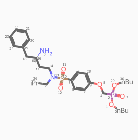 CCCCOP(=O)(COc1ccc(S(=O)(=O)N(CC[C@@H](N)Cc2ccccc2)CC(C)C)cc1)OCCCC